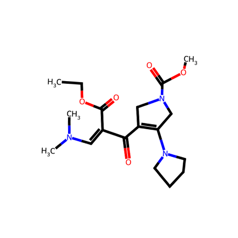 CCOC(=O)C(=CN(C)C)C(=O)C1=C(N2CCCC2)CN(C(=O)OC)C1